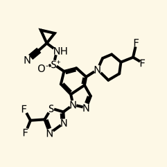 N#CC1(N[S+]([O-])c2cc(N3CCC(C(F)F)CC3)c3cnn(-c4nnc(C(F)F)s4)c3c2)CC1